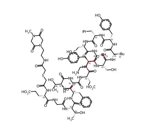 CC[C@H](C)[C@H](NC(=O)[C@H](CO)NC(=O)[C@H](Cc1ccc(O)cc1)NC(=O)[C@H](CC(=O)O)NC(=O)[C@H](CO)NC(=O)[C@@H](NC(=O)[C@H](Cc1ccccc1)NC(=O)[C@@H](NC(=O)CNC(=O)[C@H](CCC(=O)O)NC(=O)CSCC(=O)NCCN1CC(=O)N(C)CC1=O)[C@@H](C)O)[C@@H](C)O)C(=O)N[C@@H](Cc1ccc(O)cc1)C(=O)N[C@@H](CC(C)C)C(=O)N[C@@H](CC(=O)O)C(=O)N[C@H](C)CCCCN